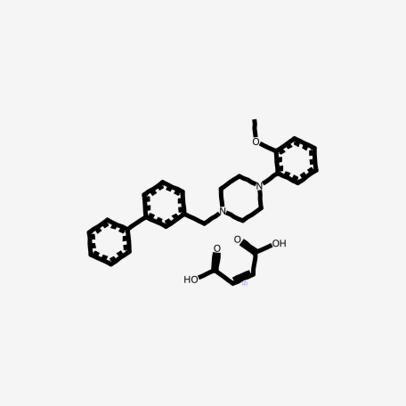 COc1ccccc1N1CCN(Cc2cccc(-c3ccccc3)c2)CC1.O=C(O)/C=C\C(=O)O